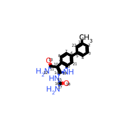 Cc1cccc(-c2ccc3c(C(N)=O)c(NC(N)=O)[nH]c3c2)c1